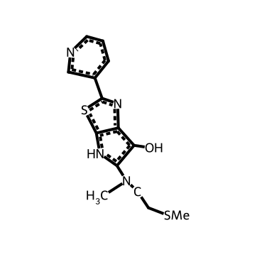 CSCCN(C)c1[nH]c2sc(-c3cccnc3)nc2c1O